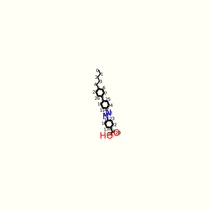 CCCCCc1ccc(-c2ccc(N=Nc3ccc(C(=O)O)cc3)cc2)cc1